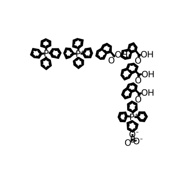 O=C(O)c1cccc2ccccc12.O=C(O)c1cccc2ccccc12.O=C(O)c1cccc2ccccc12.O=C(O)c1cccc2ccccc12.[O-]B([O-])[O-].c1ccc([P+](c2ccccc2)(c2ccccc2)c2ccccc2)cc1.c1ccc([P+](c2ccccc2)(c2ccccc2)c2ccccc2)cc1.c1ccc([P+](c2ccccc2)(c2ccccc2)c2ccccc2)cc1